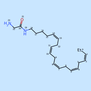 CC/C=C\C/C=C\C/C=C\C/C=C\C/C=C\CCCCNC(=O)CN